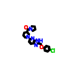 O=C(C1CCCN(c2ccc3nc(COc4ccc(Cl)cc4)[nH]c3n2)C1)N1CCCC1